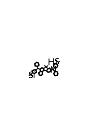 C[SH](C)c1ccc(N(c2ccccc2)c2ccc3c(c2)C(C)(C)c2cc(C(c4ccccc4)c4ccc([Si](C)(C)C)cc4)c4ccccc4c2-3)cc1